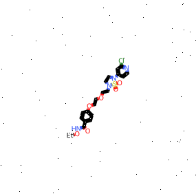 CCONC(=O)c1ccc(OCCOCCN2CCN(c3ccnc(Cl)c3)S2(=O)=O)cc1